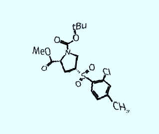 COC(=O)[C@@H]1C[C@@H](S(=O)(=O)c2ccc(C)cc2Cl)CN1C(=O)OC(C)(C)C